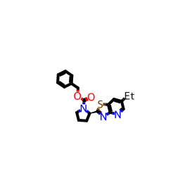 CCc1cnc2nc([C@H]3CCCN3C(=O)OCc3ccccc3)sc2c1